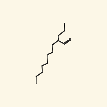 CCCCCCCCC(C=O)CCC